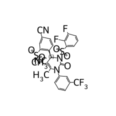 CC1=C(C#N)[C@@H](c2ccc(C#N)cc2S(C)(=O)=O)N(S(=O)(=O)c2cccc(F)c2F)C(=O)N1c1cccc(C(F)(F)F)c1